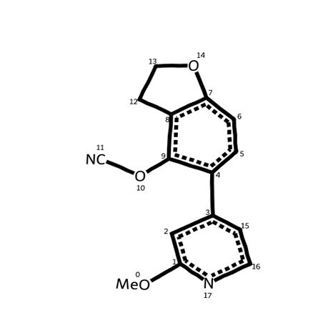 COc1cc(-c2ccc3c(c2OC#N)CCO3)ccn1